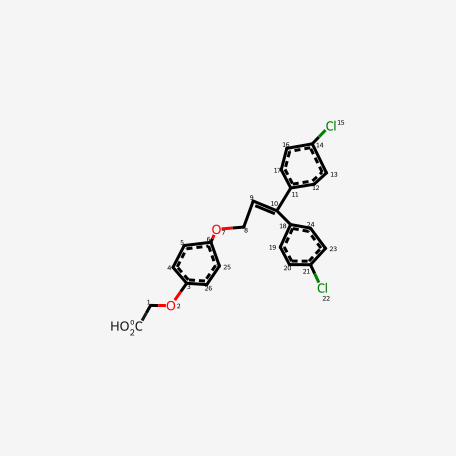 O=C(O)COc1ccc(OCC=C(c2ccc(Cl)cc2)c2ccc(Cl)cc2)cc1